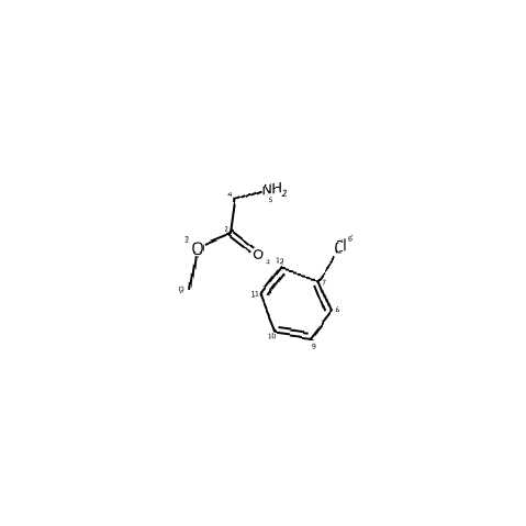 COC(=O)CN.Clc1ccccc1